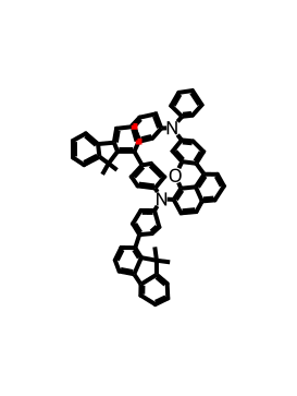 CC1(C)c2ccccc2-c2cccc(-c3ccc(N(c4ccc(-c5cccc6c5C(C)(C)c5ccccc5-6)cc4)c4ccc5cccc6c5c4Oc4cc(N(c5ccccc5)c5ccccc5)ccc4-6)cc3)c21